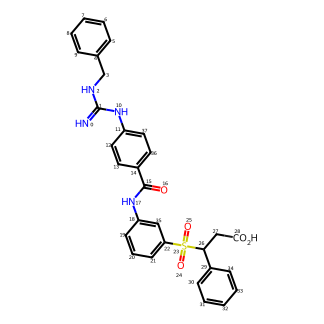 N=C(NCc1ccccc1)Nc1ccc(C(=O)Nc2cccc(S(=O)(=O)C(CC(=O)O)c3ccccc3)c2)cc1